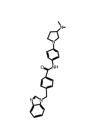 CN(C)C1CCN(c2ccc(NC(=O)c3ccc(Cn4cnc5ccccc54)cc3)cc2)C1